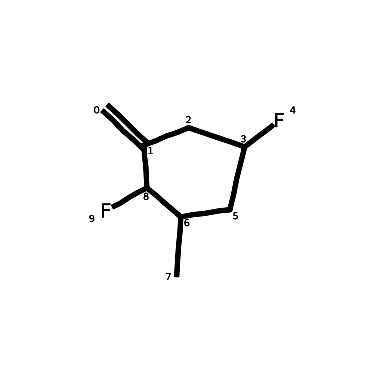 C=C1CC(F)CC(C)C1F